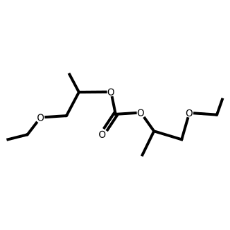 CCOCC(C)OC(=O)OC(C)COCC